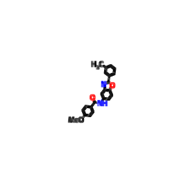 COc1ccc(C(=O)Nc2ccc3oc(-c4cccc(C)c4)nc3c2)cc1